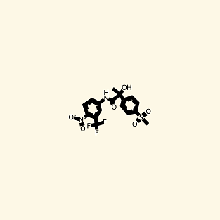 CC(O)(C(=O)Nc1ccc([N+](=O)[O-])c(C(F)(F)F)c1)c1ccc(S(C)(=O)=O)cc1